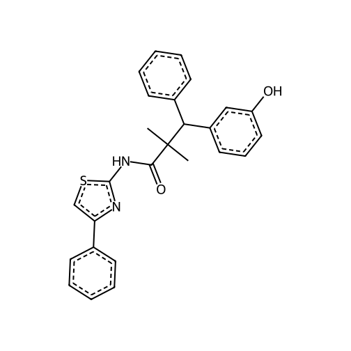 CC(C)(C(=O)Nc1nc(-c2ccccc2)cs1)C(c1ccccc1)c1cccc(O)c1